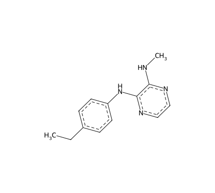 CCc1ccc(Nc2nccnc2NC)cc1